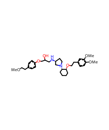 COCCc1ccc(OCC(O)CN[C@H]2CCN([C@H]3CCCC[C@@H]3OCCc3ccc(OC)c(OC)c3)C2)cc1